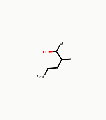 CCCCCCCC(C)C(O)CC